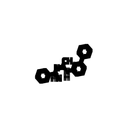 C/C(=N/C(=N)c1ccccc1)Nc1cccc(-c2ccccc2)c1